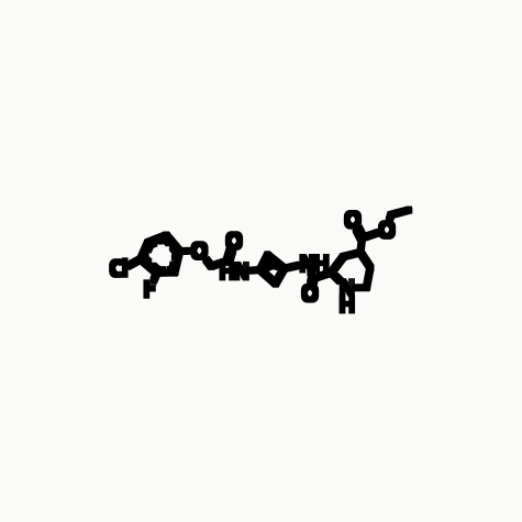 CCOC(=O)C1CCNC(C(=O)NC23CC(NC(=O)COc4ccc(Cl)c(F)c4)(C2)C3)C1